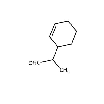 CC(C=O)C1C=CCCC1